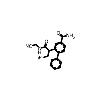 CC(C)CC(C(=O)NCC#N)c1cc(C(N)=O)ccc1-c1ccccc1